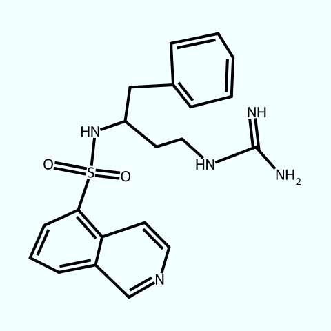 N=C(N)NCCC(Cc1ccccc1)NS(=O)(=O)c1cccc2cnccc12